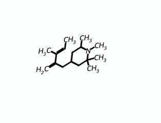 C=C(CC1CC(C)N(C)C(C)(C)C1)C(C)=CC